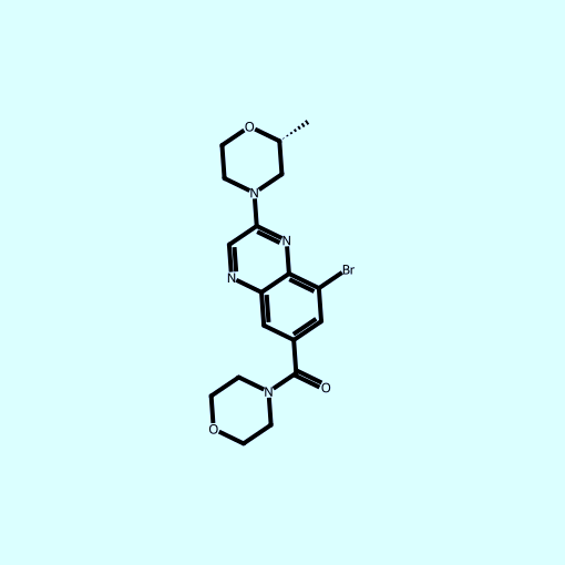 C[C@@H]1CN(c2cnc3cc(C(=O)N4CCOCC4)cc(Br)c3n2)CCO1